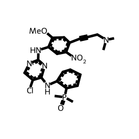 COc1cc(C#CCN(C)C)c([N+](=O)[O-])cc1Nc1ncc(Cl)c(Nc2ccccc2P(C)(C)=O)n1